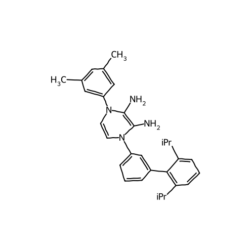 Cc1cc(C)cc(N2C=CN(c3cccc(-c4c(C(C)C)cccc4C(C)C)c3)C(N)=C2N)c1